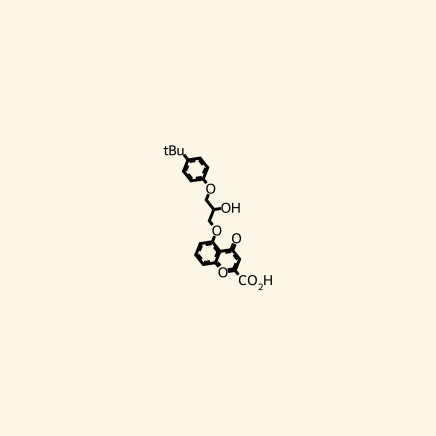 CC(C)(C)c1ccc(OCC(O)COc2cccc3oc(C(=O)O)cc(=O)c23)cc1